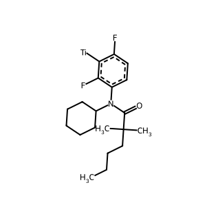 CCCCC(C)(C)C(=O)N(c1ccc(F)[c]([Ti])c1F)C1CCCCC1